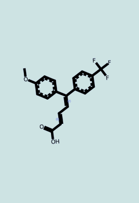 COc1ccc(/C(=C\C=C\C(=O)O)c2ccc(C(F)(F)F)cc2)cc1